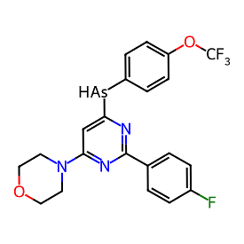 Fc1ccc(-c2nc([AsH]c3ccc(OC(F)(F)F)cc3)cc(N3CCOCC3)n2)cc1